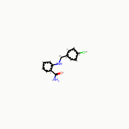 NC(=O)c1ccccc1NCc1ccc(Cl)cc1